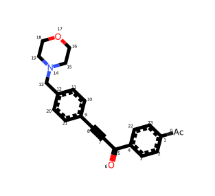 CC(=O)c1ccc(C(=O)C#Cc2ccc(CN3CCOCC3)cc2)cc1